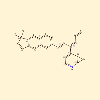 C=C/C=C(\C=C\c1ccc2cc3c(cc2c1)C=CC3(C)C)C1=CC=NC2CC12